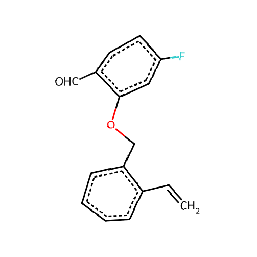 C=Cc1ccccc1COc1cc(F)ccc1C=O